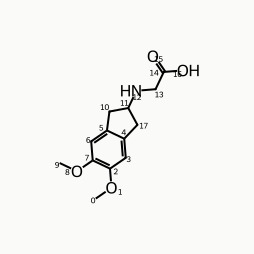 COc1cc2c(cc1OC)CC(NCC(=O)O)C2